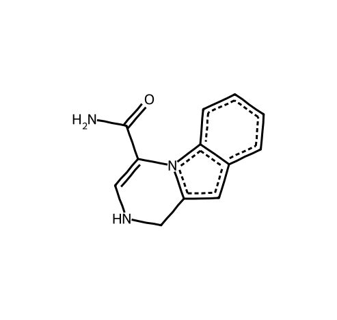 NC(=O)C1=CNCc2cc3ccccc3n21